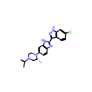 CC(C)N1CCN(c2ccc3nc(-c4n[nH]c5cc(Cl)ccc45)[nH]c3c2)[C@H](C)C1